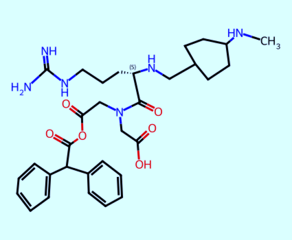 CNC1CCC(CN[C@@H](CCCNC(=N)N)C(=O)N(CC(=O)O)CC(=O)OC(=O)C(c2ccccc2)c2ccccc2)CC1